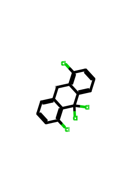 Clc1cccc2c1[C]c1cccc(Cl)c1C2(Cl)Cl